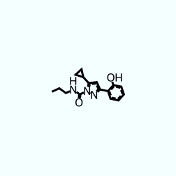 CCCNC(=O)n1nc(-c2ccccc2O)cc1C1CC1